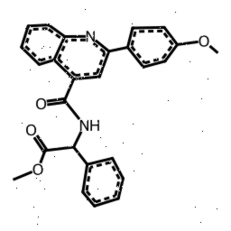 COC(=O)C(NC(=O)c1cc(-c2ccc(OC)cc2)nc2ccccc12)c1ccccc1